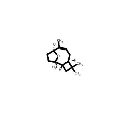 CC1=CC[C@@H]2[C@H](CC2(C)C)[C@]2(C)CC[C@@H]1O2